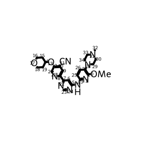 COc1nc(Nc2cc(-c3cc(C#N)c(OC4CCOCC4)cn3)ncn2)ccc1N1CCN(C)CC1